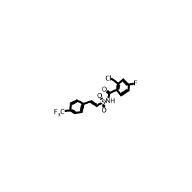 O=C(NS(=O)(=O)C=Cc1ccc(C(F)(F)F)cc1)c1ccc(F)cc1Cl